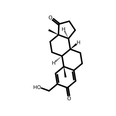 C[C@]12C=C(CO)C(=O)C=C1CC[C@@H]1[C@@H]2CC[C@]2(C)C(=O)CC[C@@H]12